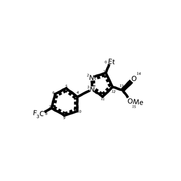 CCc1nn(-c2ccc(C(F)(F)F)cc2)cc1C(=O)OC